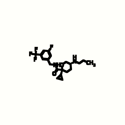 CCCN[C@@H]1CC[C@@](C(=O)NCc2cc(F)cc(C(F)(F)F)c2)(C2CC2)OC1